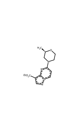 CCOC(=O)c1cnn2ccc(N3CCO[C@H](C)C3)nc12